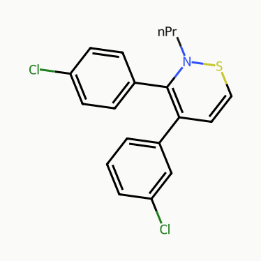 CCCN1SC=CC(c2cccc(Cl)c2)=C1c1ccc(Cl)cc1